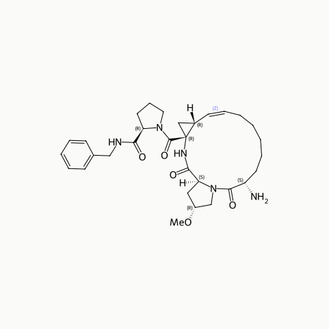 CO[C@@H]1C[C@H]2C(=O)N[C@]3(C(=O)N4CCC[C@@H]4C(=O)NCc4ccccc4)C[C@@H]3/C=C\CCCCC[C@H](N)C(=O)N2C1